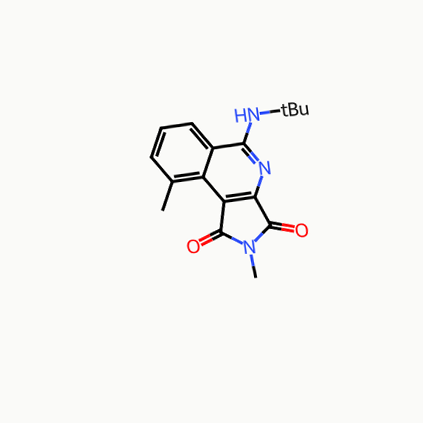 Cc1cccc2c(NC(C)(C)C)nc3c(c12)C(=O)N(C)C3=O